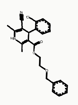 CC1=C(C#N)C(c2ccccc2Cl)C(C(=O)OCCOCc2ccccc2)=C(C)N1